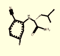 CC(C)C[C@@H](Nc1cc(F)ccc1C#N)C(N)=O